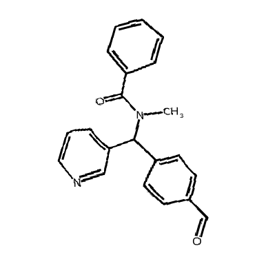 CN(C(=O)c1ccccc1)C(c1ccc(C=O)cc1)c1cccnc1